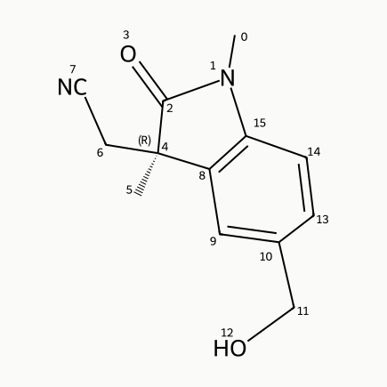 CN1C(=O)[C@](C)(CC#N)c2cc(CO)ccc21